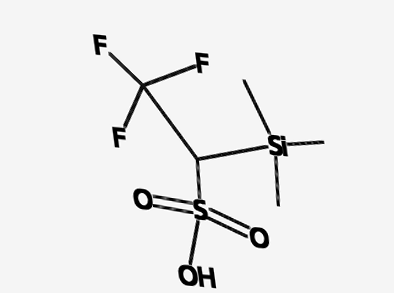 C[Si](C)(C)C(C(F)(F)F)S(=O)(=O)O